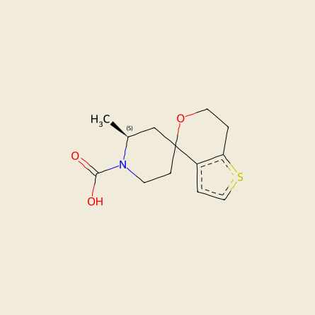 C[C@H]1CC2(CCN1C(=O)O)OCCc1sccc12